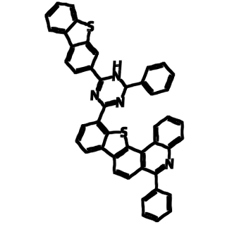 c1ccc(-c2nc3ccccc3c3c2ccc2c4cccc(C5=NC(c6ccccc6)NC(c6ccc7c(c6)sc6ccccc67)=N5)c4sc23)cc1